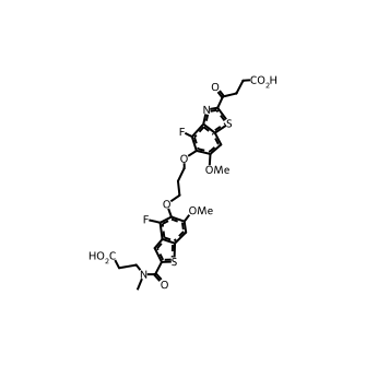 COc1cc2sc(C(=O)N(C)CCC(=O)O)cc2c(F)c1OCCCOc1c(OC)cc2sc(C(=O)CCC(=O)O)nc2c1F